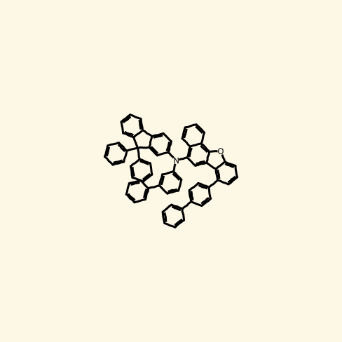 c1ccc(-c2ccc(-c3cccc4oc5c6ccccc6c(N(c6cccc(-c7ccccc7)c6)c6ccc7c(c6)C(c6ccccc6)(c6ccccc6)c6ccccc6-7)cc5c34)cc2)cc1